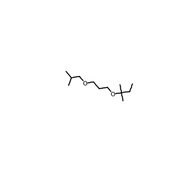 CCC(C)(C)OCCCOCC(C)C